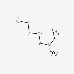 NC[C@@H](COCCO)C(=O)O